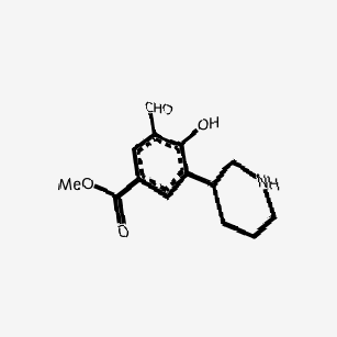 COC(=O)c1cc(C=O)c(O)c(C2CCCNC2)c1